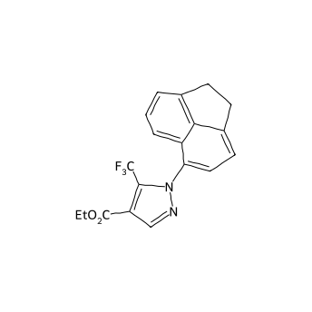 CCOC(=O)c1cnn(-c2ccc3c4c(cccc24)CC3)c1C(F)(F)F